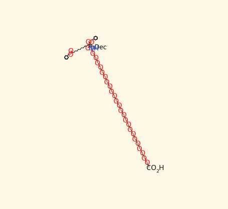 CCCCCCCCCCC[C@](CC=CCCCCCCCC(=O)OCc1ccccc1)(C(=O)NCCOCCOCCOCCOCCOCCOCCOCCOCCOCCOCCOCCOCCOCCOCCOCCOCCOCCOCCOCCOCCOCCOCCOCCOCCC(=O)O)C(=O)OCc1ccccc1